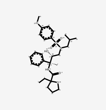 CCC1(C(=O)N[C@@](C)(c2ccccc2)[C@H](O)CN(CC(C)C)S(=O)(=O)c2ccc(OC)cc2)CCCO1